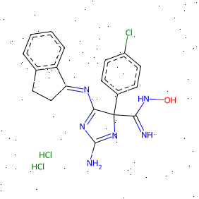 Cl.Cl.N=C(NO)C1(c2ccc(Cl)cc2)N=C(N)N=C1N=C1CCc2ccccc21